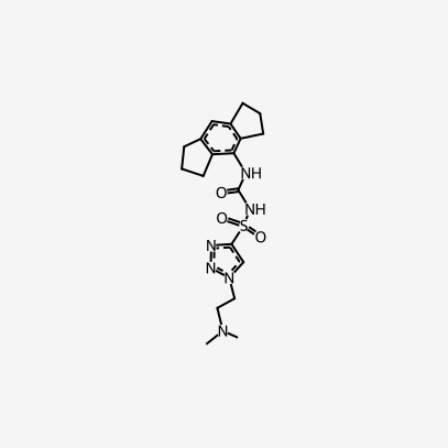 CN(C)CCn1cc(S(=O)(=O)NC(=O)Nc2c3c(cc4c2CCC4)CCC3)nn1